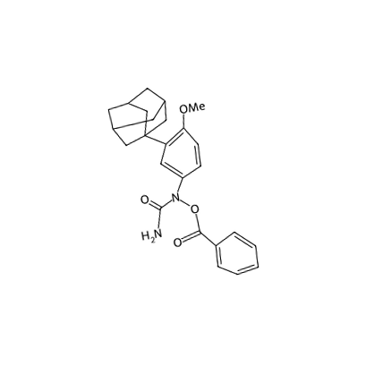 COc1ccc(N(OC(=O)c2ccccc2)C(N)=O)cc1C12CC3CC(CC(C3)C1)C2